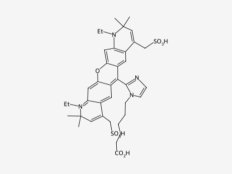 CCN1c2cc3c(cc2C(CS(=O)(=O)O)=CC1(C)C)C(c1nccn1CCCCCC(=O)O)=c1cc2c(cc1O3)=[N+](CC)C(C)(C)C=C2CS(=O)(=O)O